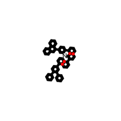 c1ccc(-c2ccc(-c3ccc(N(c4ccccc4-c4ccccc4)c4cc(-c5cc6ccccc6c6ccccc56)ccc4-c4ccccc4)cc3)cc2-c2ccccc2)cc1